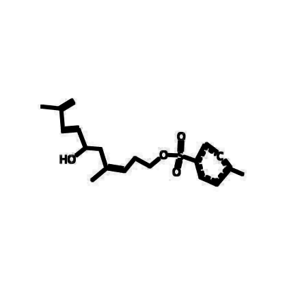 C=C(C)C=CC(O)CC(C)=CCCOS(=O)(=O)c1ccc(C)cc1